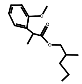 CCCC(C)COC(=O)C(C)c1ccccc1OC